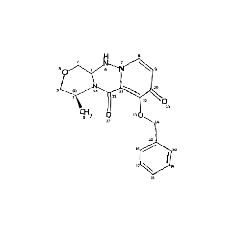 C[C@H]1COCC2Nn3ccc(=O)c(OCc4ccccc4)c3C(=O)N21